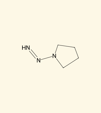 N=NN1CCCC1